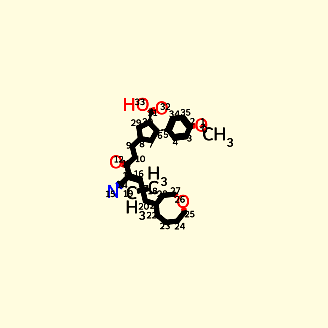 COc1ccc([C@@H]2CC(CCC(=O)/C(C#N)=C/C(C)(C)CC3CCCCOCC3)C[C@H]2C(=O)O)cc1